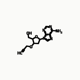 C#CCOC1CC(n2cnc3c(N)ncnc32)OC1CO